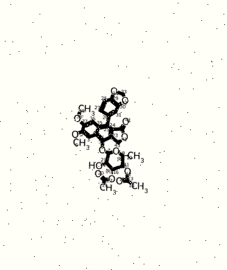 COc1cc2c(OC3O[C@H](C)[C@@H](OC(C)=O)[C@H](OC(C)=O)[C@H]3O)c3c(c(-c4ccc5c(c4)OCO5)c2cc1OC)C(=O)OC3